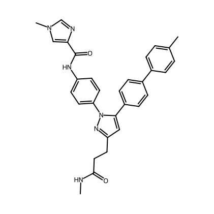 CNC(=O)CCc1cc(-c2ccc(-c3ccc(C)cc3)cc2)n(-c2ccc(NC(=O)c3cn(C)cn3)cc2)n1